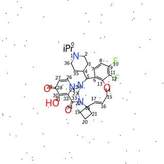 CC(C)N1CCC(C2c3ccc(F)c(F)c3OC/C=C/C3(CCC3)N3CN2n2ccc(=O)c(O)c2C3=O)CC1